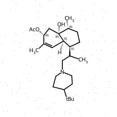 CC(=O)O[C@@H]1[CH][C@@]2(O)[C@H](C)CC[C@@H](C(C)CN3CCC(C(C)(C)C)CC3)[C@H]2C=C1C